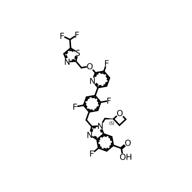 O=C(O)c1cc(F)c2nc(Cc3cc(F)c(-c4ccc(F)c(OCc5ncc(C(F)F)s5)n4)cc3F)n(C[C@@H]3CCO3)c2c1